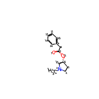 CN1CC[C@@H](OC(=O)Cc2ccccc2)C1